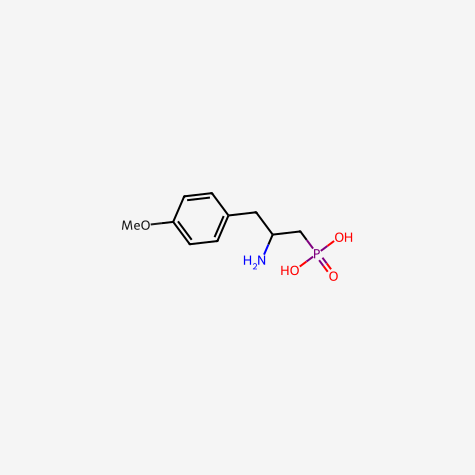 COc1ccc(CC(N)CP(=O)(O)O)cc1